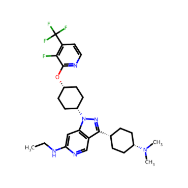 CCNc1cc2c(cn1)c([C@H]1CC[C@@H](N(C)C)CC1)nn2[C@H]1CC[C@@H](Oc2nccc(C(F)(F)F)c2F)CC1